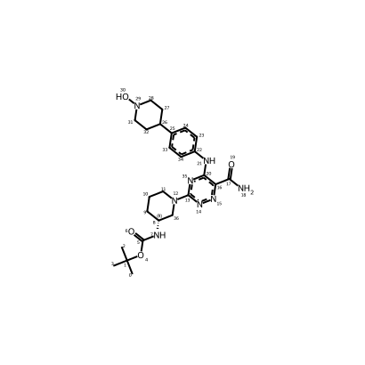 CC(C)(C)OC(=O)N[C@@H]1CCCN(c2nnc(C(N)=O)c(Nc3ccc(C4CCN(O)CC4)cc3)n2)C1